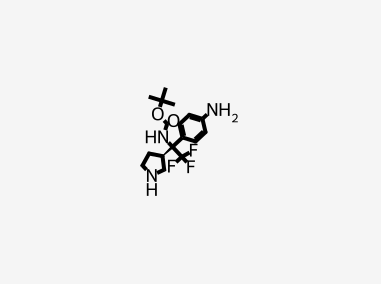 CC(C)(C)OC(=O)NC(c1ccc(N)cc1)([C@@H]1CCNC1)C(F)(F)F